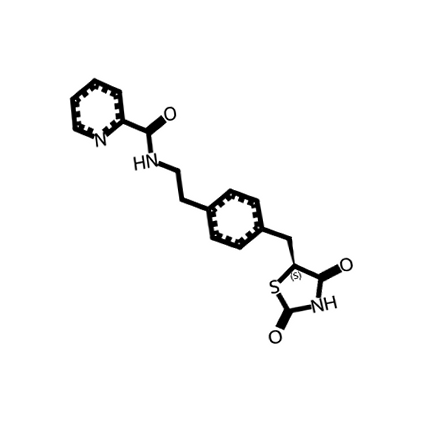 O=C1NC(=O)[C@H](Cc2ccc(CCNC(=O)c3ccccn3)cc2)S1